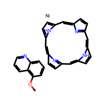 C1=Cc2cc3ccc(cc4nc(cc5ccc(cc1n2)[nH]5)C=C4)[nH]3.COc1cccc2ncccc12.[Ni]